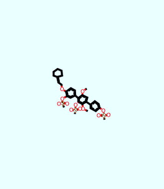 COc1cc(-c2ccc(OS(C)(=O)=O)cc2)c(OC)c(OS(C)(=O)=O)c1-c1ccc(OCC=C2CCCCC2)c(OS(C)(=O)=O)c1